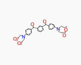 O=C(c1ccc(N(CC2CO2)CC2CO2)cc1)c1cccc(C(=O)c2ccc(N(CC3CO3)CC3CO3)cc2)c1